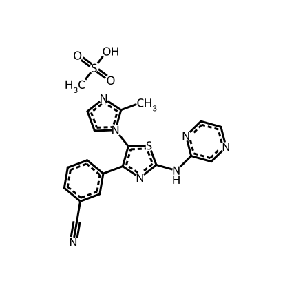 CS(=O)(=O)O.Cc1nccn1-c1sc(Nc2cnccn2)nc1-c1cccc(C#N)c1